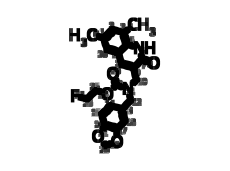 Cc1cc(C)c2[nH]c(=O)c(CN(Cc3ccc4c(c3)OCO4)C(=O)OCCF)cc2c1